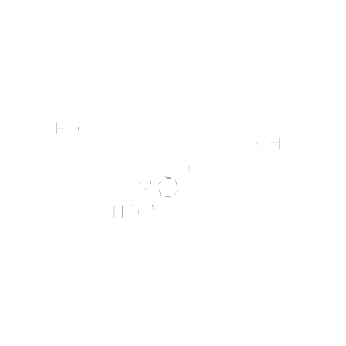 CCCCCCCCOc1ccc(C(=O)CO)c(OCCCCCCCC)c1